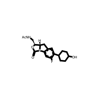 CC(=O)NC[C@@H]1OC(=O)N2c3cc(F)c(C4CCC(O)CC4)cc3C[C@@H]12